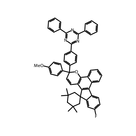 COc1ccc(C2(c3ccc(-c4nc(-c5ccccc5)nc(-c5ccccc5)n4)cc3)C=Cc3c4c(c5ccccc5c3O2)-c2ccc(F)cc2C42CC(C)(C)CC(C)(C)C2)cc1